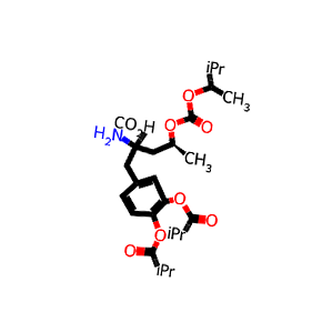 CC(C)C(=O)Oc1ccc(CC(N)(C[C@H](C)OC(=O)OC(C)C(C)C)C(=O)O)cc1OC(=O)C(C)C